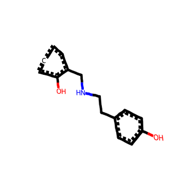 Oc1ccc(CCNCc2ccccc2O)cc1